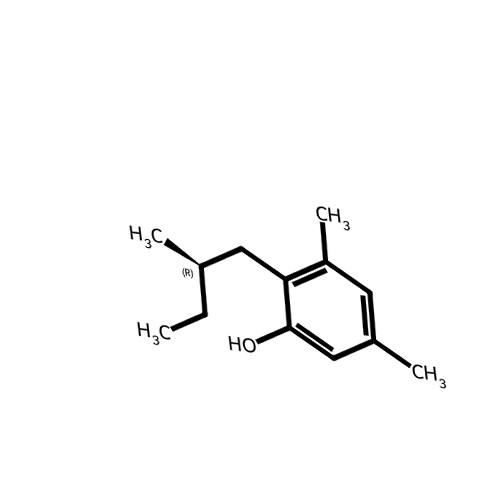 CC[C@@H](C)Cc1c(C)cc(C)cc1O